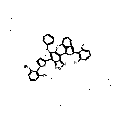 CC(C)c1cccc(C(C)C)c1-c1ccc(-c2c(Oc3ccccc3)c(Oc3ccccc3)c(-c3ccc(-c4c(C(C)C)cccc4C(C)C)s3)c3nsnc23)s1